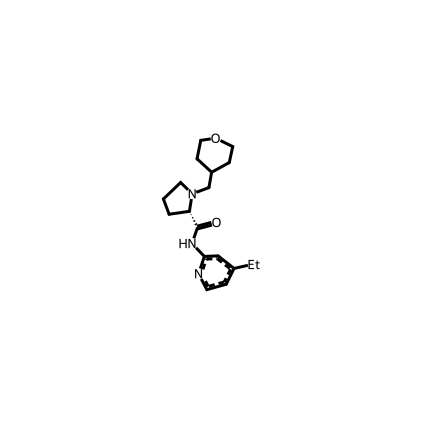 CCc1ccnc(NC(=O)[C@@H]2CCCN2CC2CCOCC2)c1